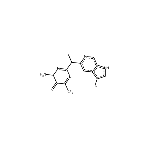 CCc1c[nH]c2cnc(C(C)C3=NC(N)C(=S)C(C(F)(F)F)=N3)cc12